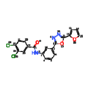 O=C(Nc1cccc(-c2nnc(-c3ccco3)o2)c1)c1ccc(Cl)c(Cl)c1